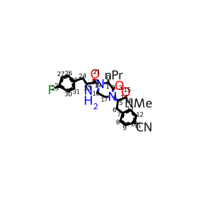 CCCC1C(=O)N(C(Cc2ccc(C#N)cc2)C(=O)NC)CCN1C(=O)C(N)Cc1ccc(F)cc1